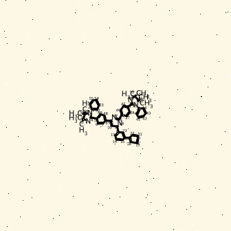 CC1(C)N=C(c2ccc(-c3cc(-c4cccc(-c5ccccc5)c4)nc(-c4ccc(C5=NC(C)(C)C(C)(C)N5c5ccccc5)cc4)n3)cc2)N(c2ccccc2)C1(C)C